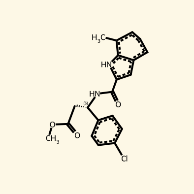 COC(=O)C[C@H](NC(=O)c1cc2cccc(C)c2[nH]1)c1ccc(Cl)cc1